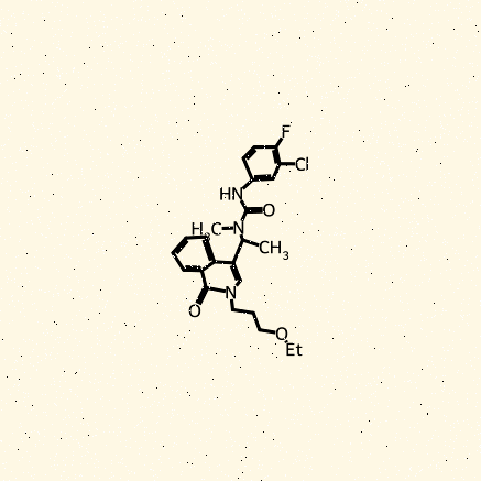 CCOCCCn1cc(C(C)N(C)C(=O)Nc2ccc(F)c(Cl)c2)c2ccccc2c1=O